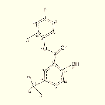 Cc1ccc(OC(=O)c2cc(C(C)(C)C)ccc2O)c(C)c1